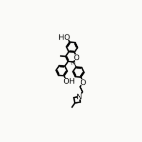 CC1=C(c2cccc(O)c2)[C@H](c2ccc(OCCN3CC(C)C3)cc2)Oc2ccc(O)cc21